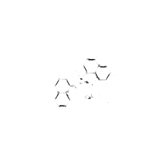 C=O.O=S(=O)(Oc1cccc2ccccc12)c1cccc2ccccc12